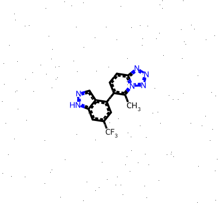 Cc1c(-c2cc(C(F)(F)F)cc3[nH]ncc23)ccc2nnnn12